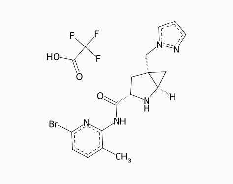 Cc1ccc(Br)nc1NC(=O)[C@@H]1C[C@@]2(Cn3cccn3)C[C@H]2N1.O=C(O)C(F)(F)F